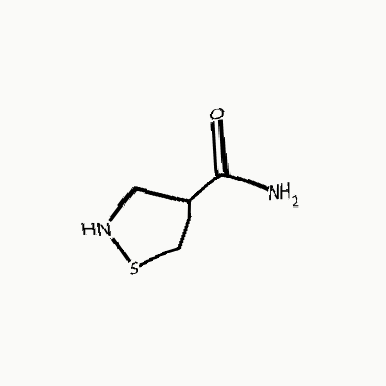 NC(=O)C1CNSC1